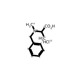 CC(C(=O)O)N(C)Cc1ccccc1.Cl